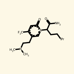 CC(C)CCC(C(N)=O)n1cc(CCN(C)C)c(C(F)(F)F)cc1=O